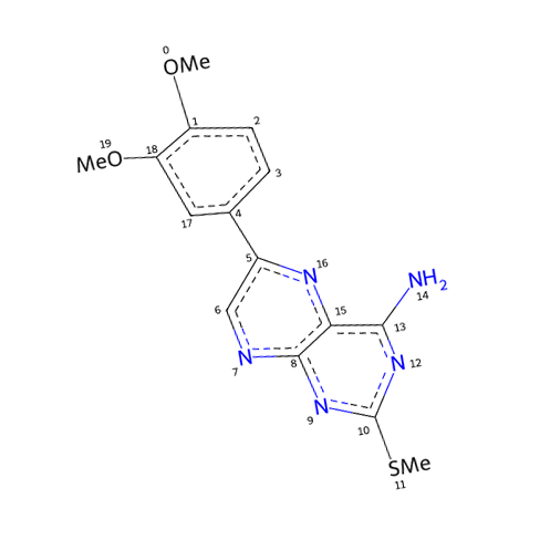 COc1ccc(-c2cnc3nc(SC)nc(N)c3n2)cc1OC